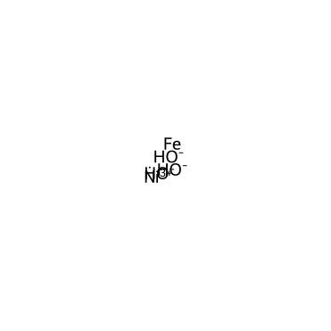 [Fe].[Ni+3].[OH-].[OH-].[OH-]